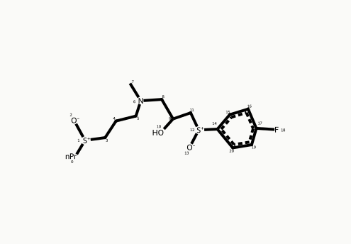 CCC[S+]([O-])CCCN(C)CC(O)C[S+]([O-])c1ccc(F)cc1